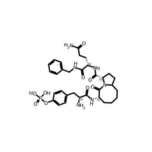 NC(=O)CC[C@H](NC(=O)[C@@H]1CCC2CCCC[C@H](NC(=O)[C@@H](N)Cc3ccc(OP(=O)(O)O)cc3)C(=O)N21)C(=O)NCc1ccccc1